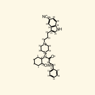 COC1CCCCC1N(C(=O)CCc1ccccc1)N1CCN(CCCc2c[nH]c3ccc(C#N)cc23)CC1